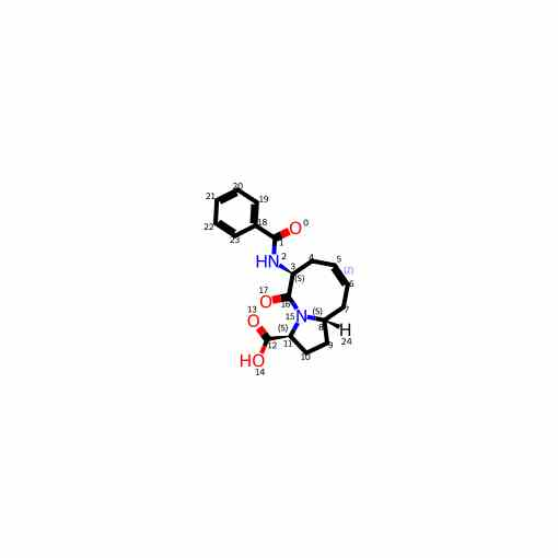 O=C(N[C@H]1C/C=C\C[C@@H]2CC[C@@H](C(=O)O)N2C1=O)c1ccccc1